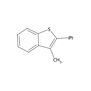 Cc1c(C(C)C)sc2ccccc12